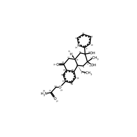 CC[C@@]12CC(C)(O)C(O)(c3ccccn3)C[C@H]1CC(=O)c1cc(OCC(N)=O)ccc12